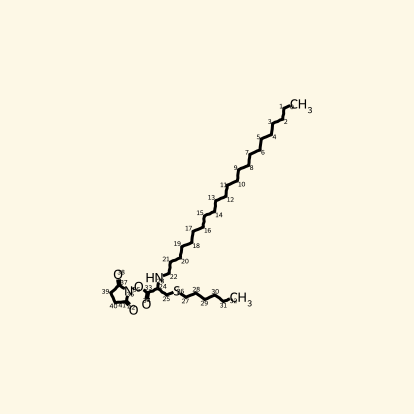 CCCCCCCCCCCCCCCCCCCCCCCNC(CSCCCCCC)C(=O)ON1C(=O)CCC1=O